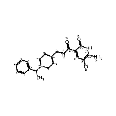 CC(c1ccccc1)N1CCC(CNC(=O)c2cc(Cl)c(N)[nH]c2=O)CC1